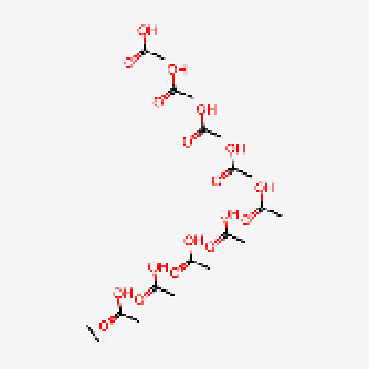 CC(=O)O.CC(=O)O.CC(=O)O.CC(=O)O.CC(=O)O.CC(=O)O.CC(=O)O.CC(=O)O.CC(=O)O.[CH2]C